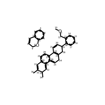 C1=Cc2ccccc2OC1.COCc1ccccc1C1C=CC2=C(CC=c3c2ccc2c3=CC(C)C(C)=C2)C1